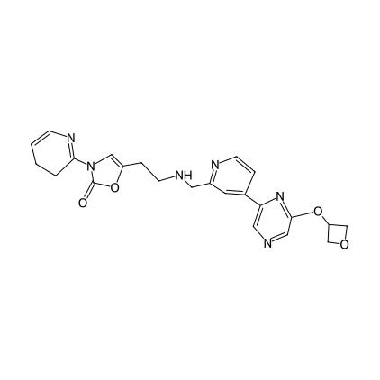 O=c1oc(CCNCc2cc(-c3cncc(OC4COC4)n3)ccn2)cn1C1=NC=CCC1